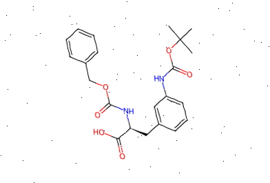 CC(C)(C)OC(=O)Nc1cccc(C[C@H](NC(=O)OCc2ccccc2)C(=O)O)c1